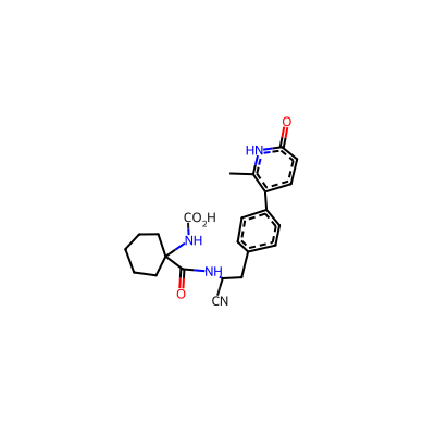 Cc1[nH]c(=O)ccc1-c1ccc(CC(C#N)NC(=O)C2(NC(=O)O)CCCCC2)cc1